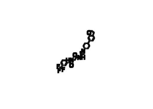 O=C(CNC(=O)c1cccc(C(F)(F)F)c1)NC1CN(C2CCC(c3ccc4c(c3)OCC4)CC2)C1